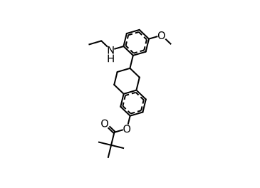 CCNc1ccc(OC)cc1C1CCc2cc(OC(=O)C(C)(C)C)ccc2C1